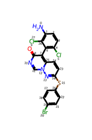 Nc1ccc(Cl)c(-c2c(=O)ncn3nc(Sc4ccc(Br)cc4)ccc23)c1Cl